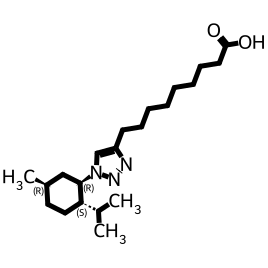 CC(C)[C@@H]1CC[C@@H](C)C[C@H]1n1cc(CCCCCCCCC(=O)O)nn1